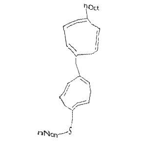 CCCCCCCCCSc1ccc(-c2ccc(CCCCCCCC)cc2)cc1